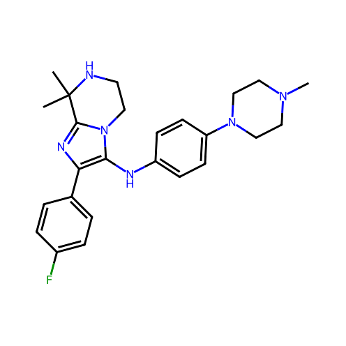 CN1CCN(c2ccc(Nc3c(-c4ccc(F)cc4)nc4n3CCNC4(C)C)cc2)CC1